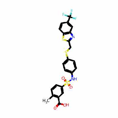 Cc1ccc(S(=O)(=O)Nc2ccc(SCc3nc4cc(C(F)(F)F)ccc4s3)cc2)cc1C(=O)O